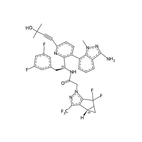 Cn1nc(N)c2cccc(-c3ccc(C#CC(C)(C)O)nc3[C@H](Cc3cc(F)cc(F)c3)NC(=O)Cn3nc(C(F)(F)F)c4c3C(F)(F)C3C[C@H]43)c21